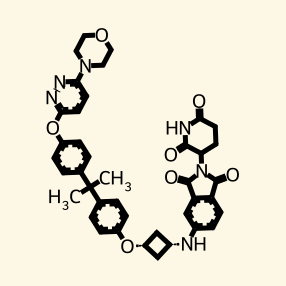 CC(C)(c1ccc(Oc2ccc(N3CCOCC3)nn2)cc1)c1ccc(O[C@H]2C[C@@H](Nc3ccc4c(c3)C(=O)N(C3CCC(=O)NC3=O)C4=O)C2)cc1